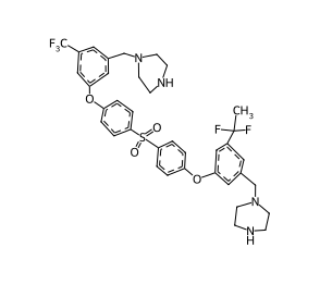 CC(F)(F)c1cc(CN2CCNCC2)cc(Oc2ccc(S(=O)(=O)c3ccc(Oc4cc(CN5CCNCC5)cc(C(F)(F)F)c4)cc3)cc2)c1